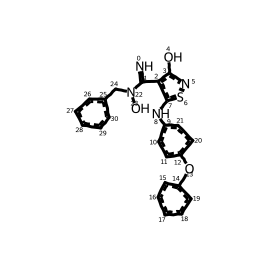 N=C(c1c(O)nsc1Nc1ccc(Oc2ccccc2)cc1)N(O)Cc1ccccc1